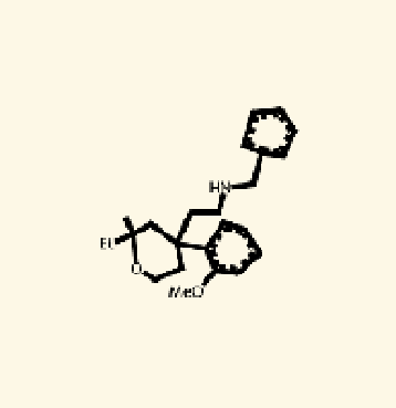 CCC1(C)CC(CCNCc2ccccc2)(c2ccccc2OC)CCO1